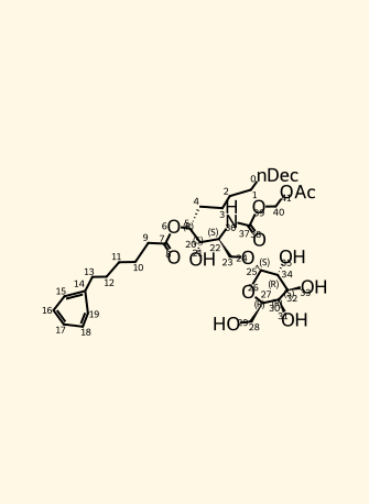 CCCCCCCCCCCCCC[C@@H](OC(=O)CCCCCc1ccccc1)[C@@H](O)[C@H](CO[C@H]1O[C@H](CO)[C@H](O)[C@H](O)[C@H]1O)NC(=O)OCOC(C)=O